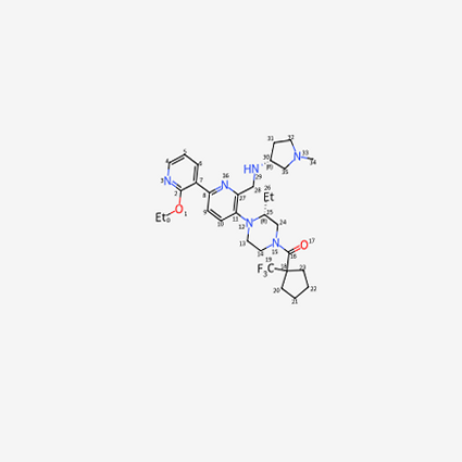 CCOc1ncccc1-c1ccc(N2CCN(C(=O)C3(C(F)(F)F)CCCC3)C[C@H]2CC)c(CN[C@@H]2CCN(C)C2)n1